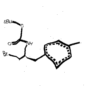 [CH2]c1ccc(C[C@@H]([CH]Br)NC(=O)OC(C)(C)C)cc1